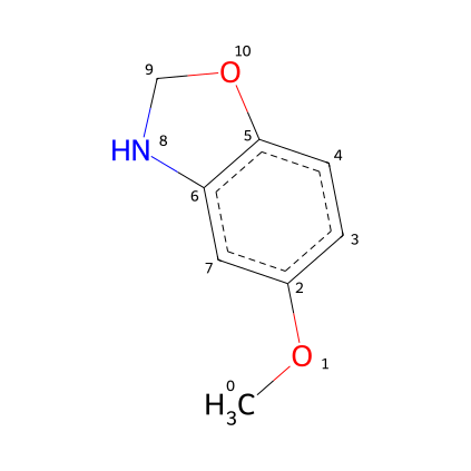 COc1ccc2c(c1)NCO2